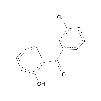 O=C(c1cccc(Cl)c1)c1ccccc1O